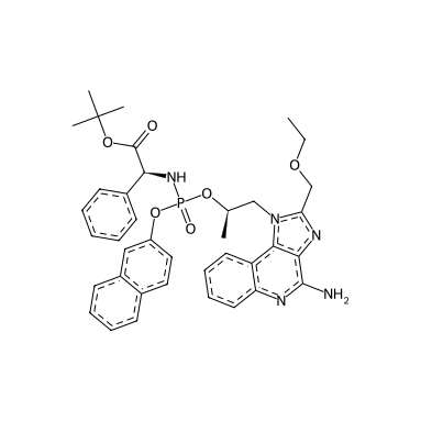 CCOCc1nc2c(N)nc3ccccc3c2n1C[C@@H](C)OP(=O)(N[C@H](C(=O)OC(C)(C)C)c1ccccc1)Oc1ccc2ccccc2c1